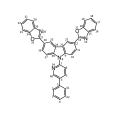 c1ccc(-c2ccc(-n3c4ccc(-c5nc6ccccc6o5)cc4c4cc(-c5nc6ccccc6o5)ccc43)nc2)cc1